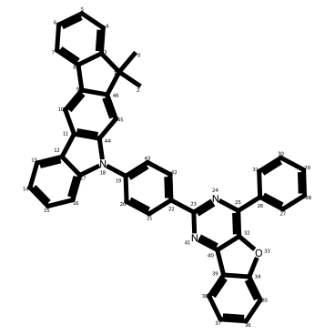 CC1(C)c2ccccc2-c2cc3c4ccccc4n(-c4ccc(-c5nc(-c6ccccc6)c6oc7ccccc7c6n5)cc4)c3cc21